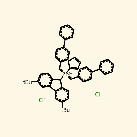 CC(C)(C)c1ccc2c(c1)-c1cc(C(C)(C)C)ccc1[CH]2[Zr+2](=[CH]c1ccc(-c2ccccc2)cc1)(=[CH]c1ccc(-c2ccccc2)cc1)[C]1=CC=CC1.[Cl-].[Cl-]